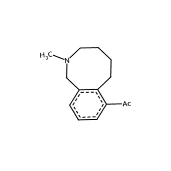 CC(=O)c1cccc2c1CCCCN(C)C2